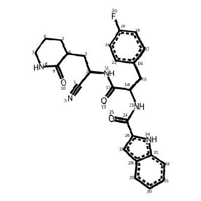 N#CC(CC1CCCNC1=O)NC(=O)C(Cc1ccc(F)cc1)NC(=O)c1cc2ccccc2[nH]1